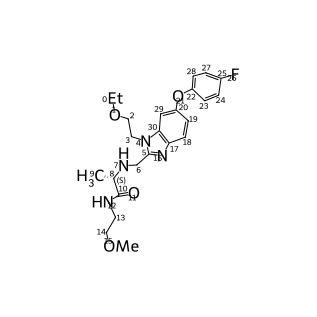 CCOCCn1c(CN[C@@H](C)C(=O)NCCOC)nc2ccc(Oc3ccc(F)cc3)cc21